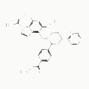 COC(=O)c1ccc(C2CC(c3ccncn3)CCN2Cc2c(OC)cc(C)c3c2ccn3C(=O)O)cc1